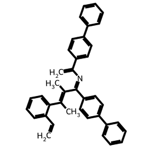 C=Cc1ccccc1/C(C)=C(C)/C(=N\C(=C)c1ccc(-c2ccccc2)cc1)c1ccc(-c2ccccc2)cc1